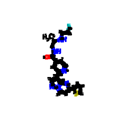 C[C@@H](CNC(=O)c1ccnc(-c2cnn3ccc(-c4cccs4)nc23)c1)NCCF